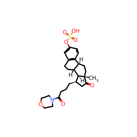 C[C@]12CC[C@@H]3c4ccc(OS(=O)(=O)O)cc4CC[C@H]3[C@@H]1[C@H](CCCC(=O)N1CCOCC1)CC2=O